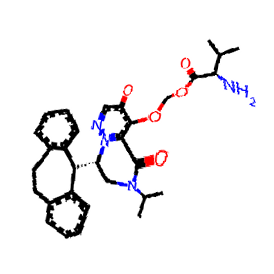 CC(C)[C@@H](N)C(=O)OCOc1c2n(ncc1=O)[C@@H](C1c3ccccc3CCc3ccccc31)CN(C(C)C)C2=O